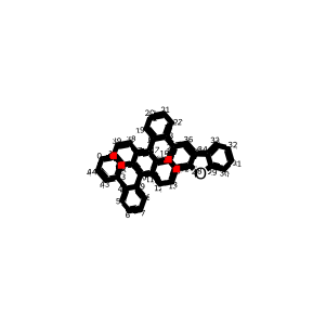 c1ccc(-c2ccccc2-c2c3ccccc3c(-c3ccccc3-c3ccc4oc5ccccc5c4c3)c3ccccc23)cc1